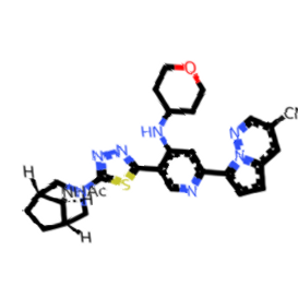 CC(=O)N[C@@H]1[C@@H]2CC[C@H]1CN(c1nnc(-c3cnc(-c4ccc5cc(C#N)cnn45)cc3NC3CCOCC3)s1)C2